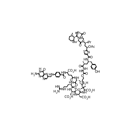 CCCC(=O)OCN(C(=O)[C@@H](NC(=O)[C@H]1CCCCN1C)C(C)CC)[C@H](C[C@@H](OC(C)=O)c1nc(C(=O)N[C@@H](Cc2ccc(O)cc2)C[C@H](C)C(=O)NNC(=O)OCCSSC(C)(C)C(NC(=O)[C@@H](CC(=O)O)NC(=O)[C@@H](CC(=O)O)NC(=O)[C@@H](CCCNC(=N)N)NC(=O)[C@@H](CC(=O)O)NC(=O)CC[C@@H](NC(=O)c2ccc(NCc3cnc4nc(N)[nH]c(=O)c4n3)cc2)C(=O)O)C(=O)O)cs1)C(C)C